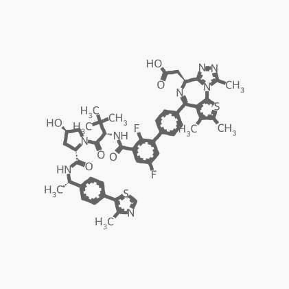 Cc1ncsc1-c1ccc([C@H](C)NC(=O)[C@@H]2C[C@@H](O)CN2C(=O)[C@@H](NC(=O)c2cc(F)cc(-c3ccc(C4=N[C@@H](CC(=O)O)c5nnc(C)n5-c5sc(C)c(C)c54)cc3)c2F)C(C)(C)C)cc1